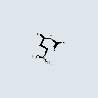 CCC(CCN(C)C)NC(=O)C(C)C